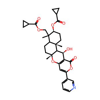 CC1(COC(=O)C2CC2)C2CC[C@@]3(C)Oc4cc(-c5cccnc5)oc(=O)c4[C@H](O)C3[C@@]2(C)CC[C@@H]1OC(=O)C1CC1